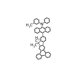 Cc1cccc(N(c2ccccc2)c2c3ccccc3c(-c3ccc4c(c3)C(C)(C)c3cc5c6ccccc6c6ccccc6c5cc3-4)c3ccccc23)c1